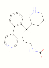 O=C(O)NCCCC(O)(c1ccccc1-c1ccncc1)C1CCCNC1